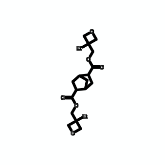 CCC1(COC(=O)C2CC3CC2CC3C(=O)OCC2(CC)COC2)COC1